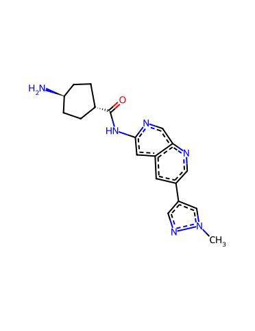 Cn1cc(-c2cnc3cnc(NC(=O)[C@H]4CC[C@H](N)CC4)cc3c2)cn1